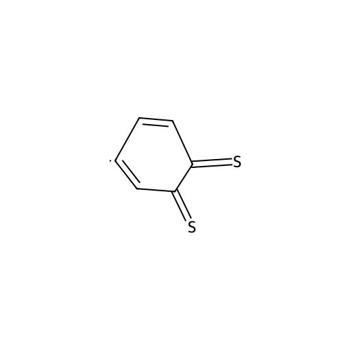 S=C1C=[C]C=CC1=S